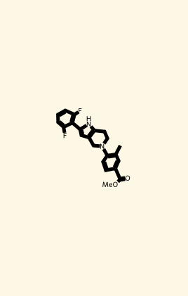 COC(=O)c1ccc(N2CCc3[nH]c(-c4c(F)cccc4F)cc3C2)c(C)c1